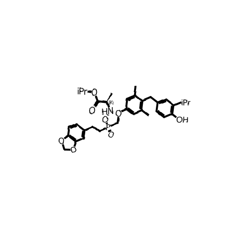 Cc1cc(OCP(=O)(CCc2ccc3c(c2)OCO3)ON[C@H](C)C(=O)OC(C)C)cc(C)c1Cc1ccc(O)c(C(C)C)c1